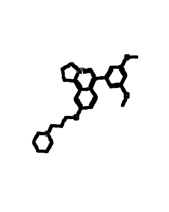 COc1cc(OC)cc(-c2c[n+]3c(c4cc(OCCCN5CCCCC5)ccc24)CCC3)c1